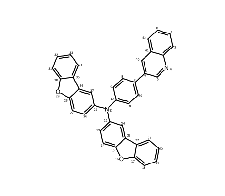 c1ccc2ncc(-c3ccc(N(c4ccc5oc6ccccc6c5c4)c4ccc5oc6ccccc6c5c4)cc3)cc2c1